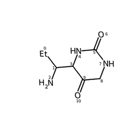 CCC(N)C1NC(=O)NCC1=O